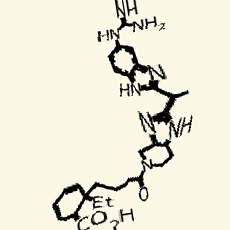 CCC1(CCCC(=O)N2CCc3[nH]c(C(C)c4nc5cc(NC(=N)N)ccc5[nH]4)nc3C2)C=CC=CC1C(=O)O